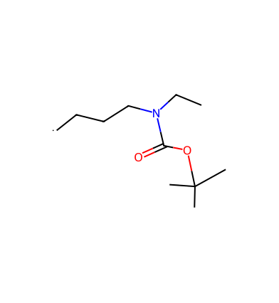 [CH2]CCCN(CC)C(=O)OC(C)(C)C